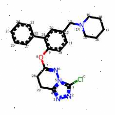 Clc1nnc2n1N=C(Oc1ccc(CN3CCCCC3)cc1-c1ccccc1)CC2